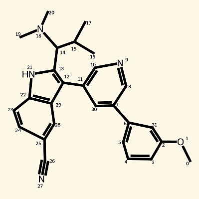 COc1cccc(-c2cncc(-c3c(C(C(C)C)N(C)C)[nH]c4ccc(C#N)cc34)c2)c1